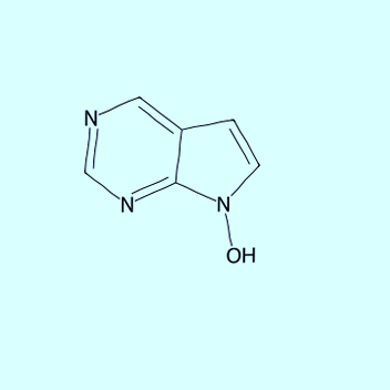 On1ccc2cncnc21